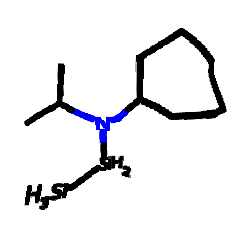 CC(C)N([SiH2][SiH3])C1CCCCC1